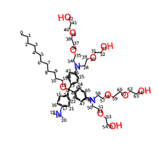 CCCCCCCCCCCCOC(c1ccc(N(C)C)cc1)(c1ccc(N(CCOCCO)CCOCCOCCO)cc1)c1ccc(N(CCOCCO)CCOCCOCCO)cc1